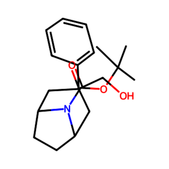 CC(C)(C)OC(=O)N1C2CCC1CC(CO)(c1ccccc1)C2